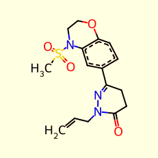 C=CCN1N=C(c2ccc3c(c2)N(S(C)(=O)=O)CCO3)CCC1=O